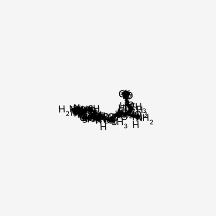 CC(C)[C@H](NC(=O)CCCCCN1C(=O)C=CC1=O)C(=O)N[C@@H](CCCCNC(N)=O)C(=O)Nc1ccc(COC(=O)N(C)CCOC(=O)Nc2ncnc3c2ncn3[C@@H]2O[C@@H]3CO[P@@](=O)(S)O[C@H]4[C@@H](F)[C@H](n5cnc6c(N)ncnc65)O[C@@H]4CO[P@@](=O)(S)O[C@H]3[C@H]2F)cc1